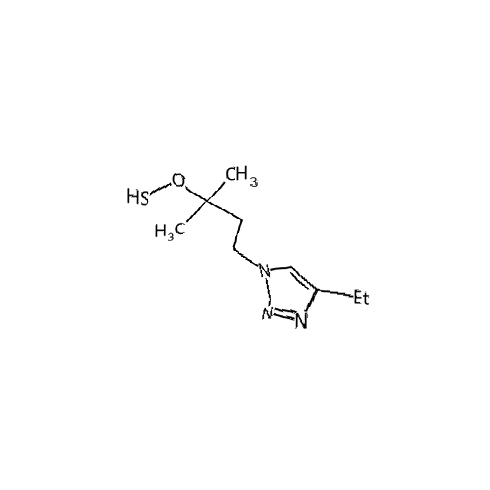 CCc1cn(CCC(C)(C)OS)nn1